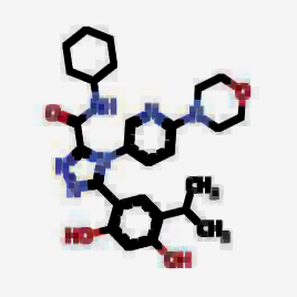 CC(C)c1cc(-c2nnc(C(=O)NC3CCCCC3)n2-c2ccc(N3CCOCC3)nc2)c(O)cc1O